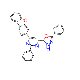 c1ccc(C2=NNC(c3cc(-c4ccc5c(c4)oc4ccccc45)nc(-c4ccccc4)n3)O2)cc1